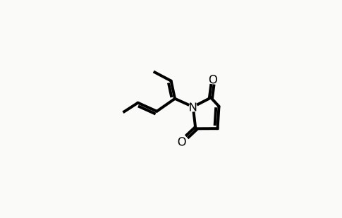 C/C=C/C(=C\C)N1C(=O)C=CC1=O